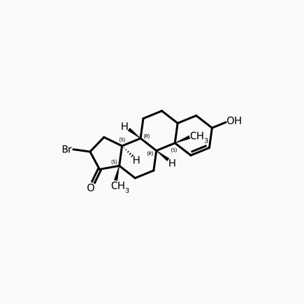 C[C@]12C=CC(O)CC1CC[C@@H]1[C@H]2CC[C@]2(C)C(=O)C(Br)C[C@@H]12